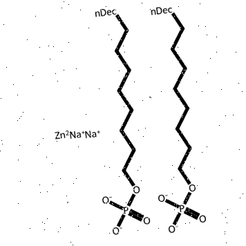 CCCCCCCCCCCCCCCCCCOP(=O)([O-])[O-].CCCCCCCCCCCCCCCCCCOP(=O)([O-])[O-].[Na+].[Na+].[Zn+2]